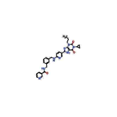 CCCn1c(=O)n(C2CC2)c(=O)c2[nH]c(-c3ccc(NCc4cccc(CNC(=O)c5cccnc5)c4)nc3)nc21